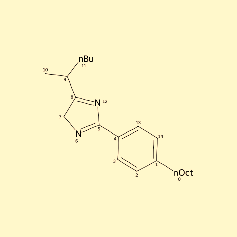 CCCCCCCCc1ccc(C2=NCC(C(C)CCCC)=N2)cc1